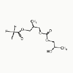 CC(O)COC(=O)OCC(C)COC(=O)C(F)(F)F